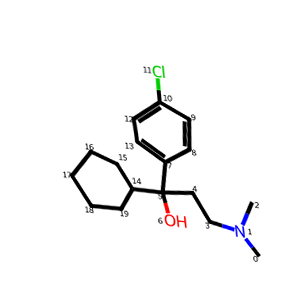 CN(C)CCC(O)(c1ccc(Cl)cc1)C1CCCCC1